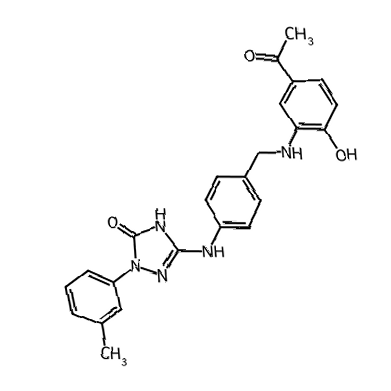 CC(=O)c1ccc(O)c(NCc2ccc(Nc3nn(-c4cccc(C)c4)c(=O)[nH]3)cc2)c1